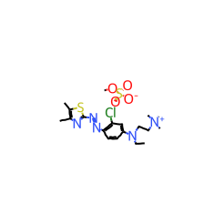 CCN(CC[N+](C)(C)C)c1ccc(N=Nc2nc(C)c(C)s2)c(Cl)c1.COS(=O)(=O)[O-]